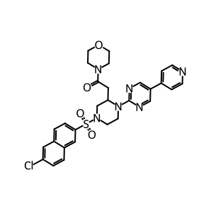 O=C(CC1CN(S(=O)(=O)c2ccc3cc(Cl)ccc3c2)CCN1c1ncc(-c2ccncc2)cn1)N1CCOCC1